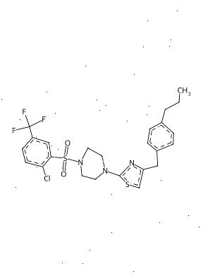 CCCc1ccc(Cc2csc(N3CCN(S(=O)(=O)c4cc(C(F)(F)F)ccc4Cl)CC3)n2)cc1